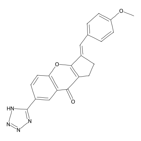 COc1ccc(C=C2CCc3c2oc2ccc(-c4nnn[nH]4)cc2c3=O)cc1